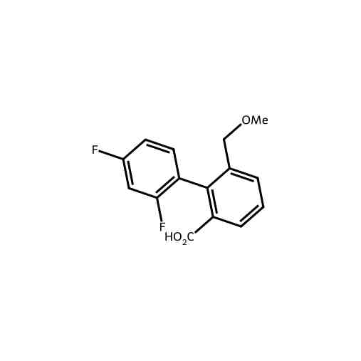 COCc1cccc(C(=O)O)c1-c1ccc(F)cc1F